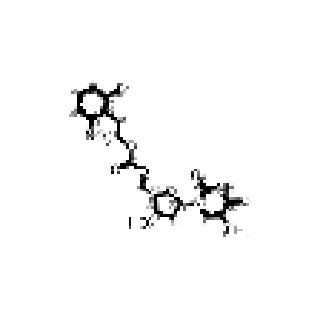 Cc1cn([C@H]2C[C@H](O)[C@@H](COC(=O)OCCc3c(Br)cccc3[N+](=O)[O-])O2)c(=O)[nH]c1=O